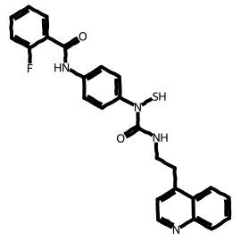 O=C(Nc1ccc(N(S)C(=O)NCCc2ccnc3ccccc23)cc1)c1ccccc1F